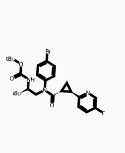 CC[C@H](C)C(CN(C(=O)[C@@H]1C[C@H]1c1ccc(F)cn1)c1ccc(Br)cc1)NC(=O)OC(C)(C)C